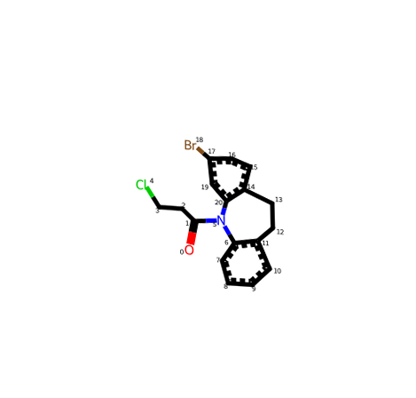 O=C(CCCl)N1c2ccccc2CCc2ccc(Br)cc21